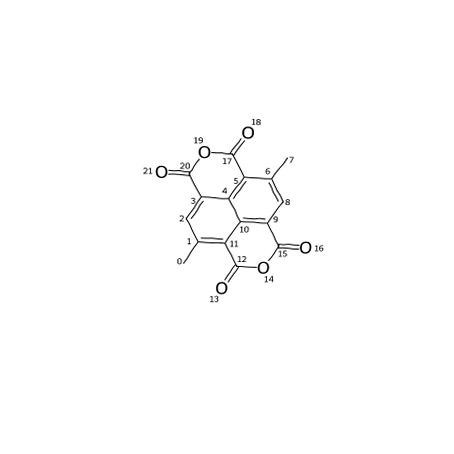 Cc1cc2c3c(c(C)cc4c3c1C(=O)OC4=O)C(=O)OC2=O